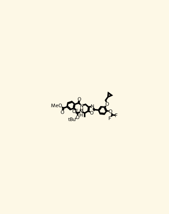 COC(=O)c1ccc(C(=O)NCc2nc(-c3ccc(OC(F)F)c(OCC4CC4)c3)oc2C(C)NC(=O)OC(C)(C)C)c(F)c1